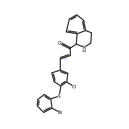 O=C(/C=C/c1ccc(Sc2ccccc2Br)c(Cl)c1)C1NCCc2ccccc21